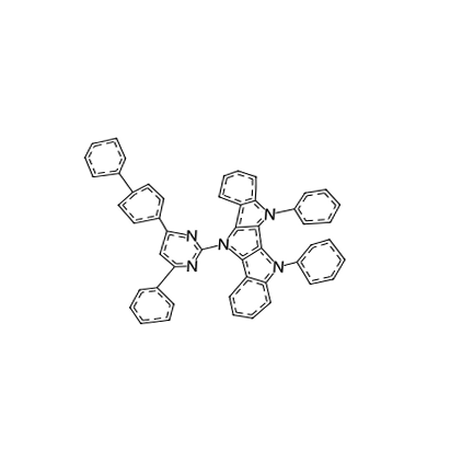 c1ccc(-c2ccc(-c3cc(-c4ccccc4)nc(-n4c5c6ccccc6n(-c6ccccc6)c5c5c4c4ccccc4n5-c4ccccc4)n3)cc2)cc1